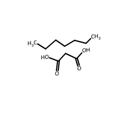 CCCCCCC.O=C(O)CC(=O)O